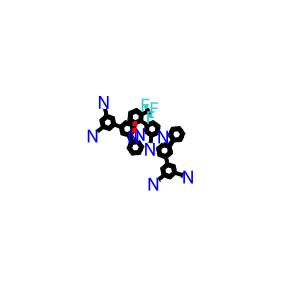 N#Cc1cc(C#N)cc(-c2ccc3c(c2)c2ccccc2n3-c2ccc(-c3c(C#N)cccc3C(F)(F)F)c(-n3c4ccccc4c4cc(-c5cc(C#N)cc(C#N)c5)ccc43)c2C#N)c1